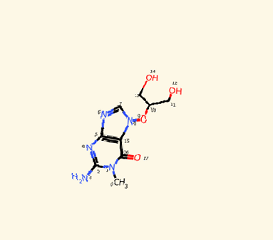 Cn1c(N)nc2ncn(OC(CO)CO)c2c1=O